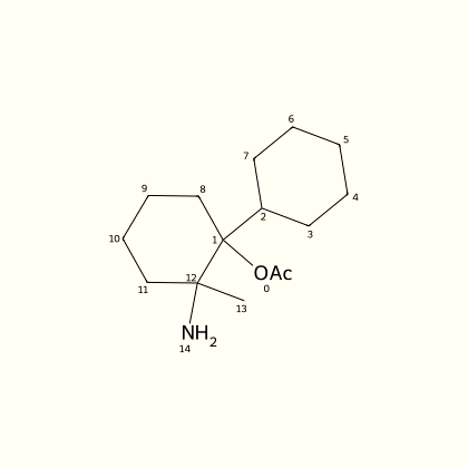 CC(=O)OC1(C2CCCCC2)CCCCC1(C)N